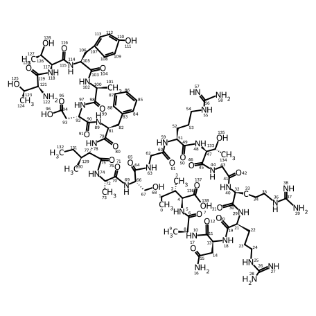 CC[C@H](C)[C@H](NC(=O)[C@H](C)NC(=O)[C@H](CC(N)=O)NC(=O)[C@H](CCCNC(=N)N)NC(=O)[C@H](CCCNC(=N)N)NC(=O)CNC(=O)[C@@H](NC(=O)[C@H](CCCNC(=N)N)NC(=O)CNC(=O)[C@H](CO)NC(=O)[C@H](C)NC(=O)[C@@H](NC(=O)[C@H](Cc1ccccc1)NC(=O)[C@H](CC(=O)O)NC(=O)[C@H](C)NC(=O)[C@H](Cc1ccc(O)cc1)NC(=O)[C@@H](NC(=O)[C@@H](N)[C@@H](C)O)[C@@H](C)O)[C@@H](C)CC)[C@@H](C)O)C(=O)O